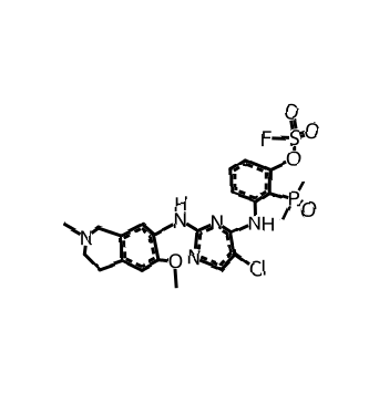 COc1cc2c(cc1Nc1ncc(Cl)c(Nc3cccc(OS(=O)(=O)F)c3P(C)(C)=O)n1)CN(C)CC2